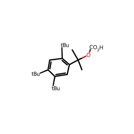 CC(C)(C)c1cc(C(C)(C)C)c(C(C)(C)OC(=O)O)cc1C(C)(C)C